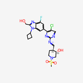 CS(=O)(=O)N1CC[C@@H](/C=N/c2ncc(Cl)c(-c3cc(F)c4nc(CO)n(C5CCC5)c4c3)n2)[C@H](O)C1